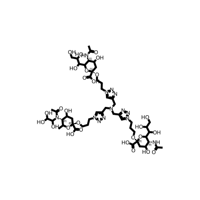 CC(=O)N[C@@H]1C(O)C[C@](OCCCn2cc(CN(Cc3cn(CCCO[C@@]4(C(=O)O)CC(O)[C@H](NC(C)=O)C(C(O)C(O)CO)O4)nn3)Cc3cn(CCCO[C@]4(C(=O)O)CC(O)[C@@H](N(C(C)=O)C(O)C(O)O)C(C)O4)nn3)nn2)(C(=O)O)OC1C(O)C(O)CO